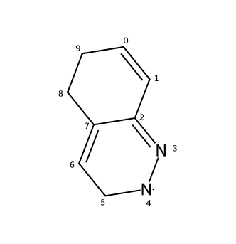 C1=CC2=N[N]CC=C2CC1